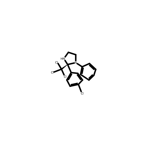 Clc1ccc([C@]2(C(Cl)(Cl)Cl)NCCN2c2ccccc2)cc1